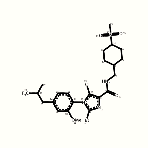 CCc1nc(C(=O)NCC2CCC(S(C)(=O)=O)CC2)c(Cl)n1-c1ccc(CC(C)C(F)(F)F)cc1OC